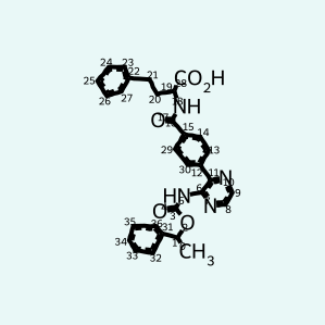 CC(OC(=O)Nc1nccnc1-c1ccc(C(=O)NC(CCc2ccccc2)C(=O)O)cc1)c1ccccc1